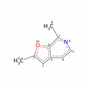 Cc1cc2ccnc(C)c2o1